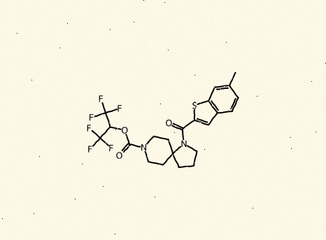 Cc1ccc2cc(C(=O)N3CCCC34CCN(C(=O)OC(C(F)(F)F)C(F)(F)F)CC4)sc2c1